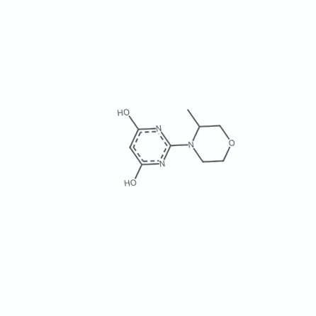 CC1COCCN1c1nc(O)cc(O)n1